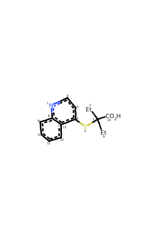 CCC(CC)(Sc1ccnc2ccccc12)C(=O)O